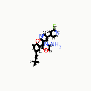 CC(C)(C)C#Cc1ccc2c(c1)C1(COCC(N)=N1)c1cc(-c3ccnc(F)c3)cnc1O2